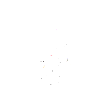 CON1CCC2(CC1)NC(=O)C(c1cc(C)ccc1C)=C2OC(C)=O